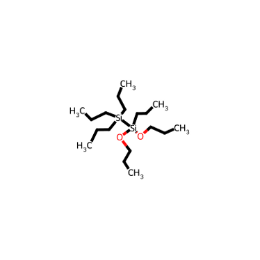 CCCO[Si](CCC)(OCCC)[Si](CCC)(CCC)CCC